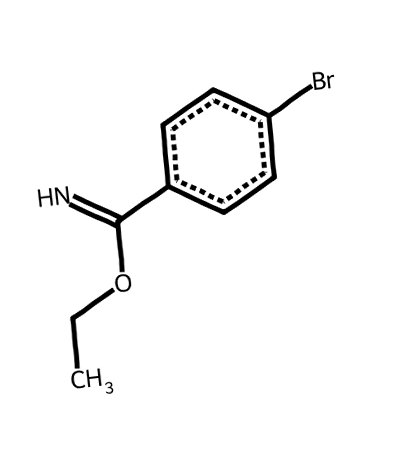 CCOC(=N)c1ccc(Br)cc1